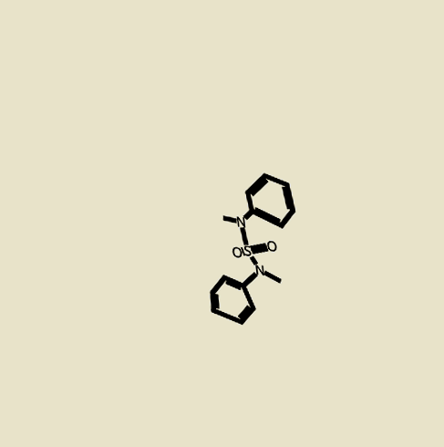 CN(c1ccccc1)S(=O)(=O)N(C)c1ccccc1